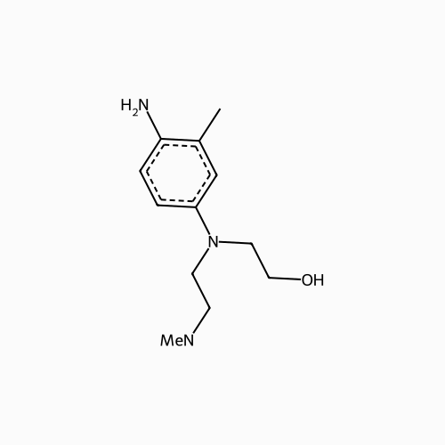 CNCCN(CCO)c1ccc(N)c(C)c1